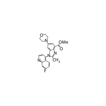 COC(=O)c1cc(N2CCOCC2)cc2c1nc(C)n2-c1ccnc2cc(F)ccc12